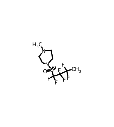 CN1CCN(S(=O)(=O)C(F)(F)C(F)(F)C(C)(F)F)CC1